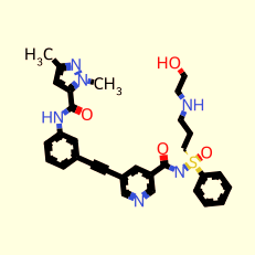 Cc1cc(C(=O)Nc2cccc(C#Cc3cncc(C(=O)N=[S@](=O)(CCCNCCO)c4ccccc4)c3)c2)n(C)n1